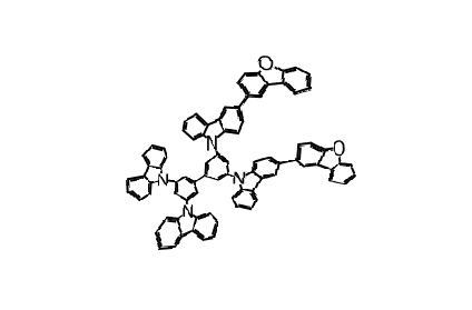 c1ccc2c(c1)oc1ccc(-c3ccc4c(c3)c3ccccc3n4-c3cc(-c4cc(-n5c6ccccc6c6ccccc65)cc(-n5c6ccccc6c6ccccc65)c4)cc(-n4c5ccccc5c5cc(-c6ccc7oc8ccccc8c7c6)ccc54)c3)cc12